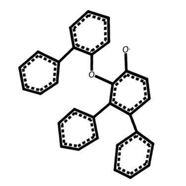 [O]c1ccc(-c2ccccc2)c(-c2ccccc2)c1Oc1ccccc1-c1ccccc1